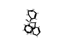 CS(CC1=CCCC=C1)(c1ccccc1)C1C=CC=CC1